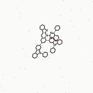 c1ccc(-c2nc(-n3c4nc5ccccc5c-4cc4cc(-c5ccc6c7ccccc7n(-c7ccccc7)c6c5)cc(-c5ccc6c7ccccc7n(-c7ccccc7)c6c5)c43)nc3ccccc23)cc1